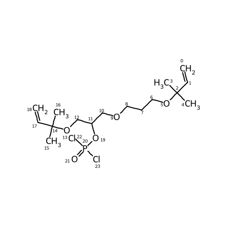 C=CC(C)(C)OCCCOCC(COC(C)(C)C=C)OP(=O)(Cl)Cl